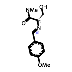 CNC(=O)[C@H](CO)/N=C/c1ccc(OC)cc1